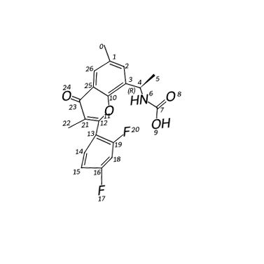 Cc1cc([C@@H](C)NC(=O)O)c2oc(-c3ccc(F)cc3F)c(C)c(=O)c2c1